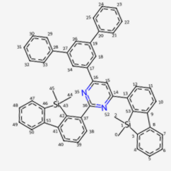 C[Si]1(C)c2ccccc2-c2cccc(-c3cc(-c4cc(-c5ccccc5)cc(-c5ccccc5)c4)nc(-c4cccc5c4[Si](C)(C)c4ccccc4-5)n3)c21